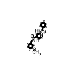 COc1cccc(CNC(=O)c2ccnc(NC(=O)c3ccccc3)c2)c1